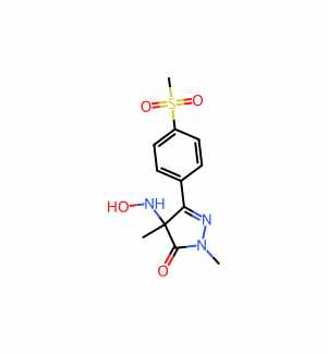 CN1N=C(c2ccc(S(C)(=O)=O)cc2)C(C)(NO)C1=O